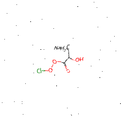 CC(O)C(=O)OOCl.[Na]